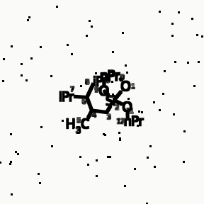 CCCO[Si](CC(C)C(C(C)C)C(C)C)(OCCC)OCCC